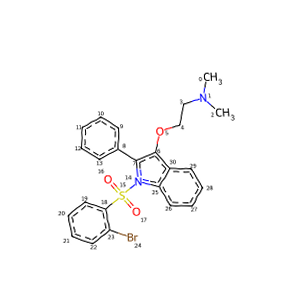 CN(C)CCOc1c(-c2ccccc2)n(S(=O)(=O)c2ccccc2Br)c2ccccc12